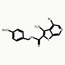 COc1ccc(CNC(=O)c2sc3cncc(Br)c3c2N)cc1